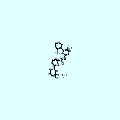 CCc1ccccc1-c1nc(NS(=O)(=O)c2cccc(N3CCCC(C)(C(=O)O)C3)n2)ccc1C(F)(F)F